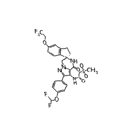 CS(=O)(=O)CC(=O)Nc1c(-c2ccc(OC(F)F)cc2)nn2c1C(=O)N[C@@]1(CCc3cc(OCC(F)(F)F)ccc31)C2